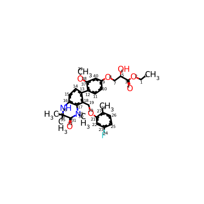 CCOC(=O)[C@H](O)COc1ccc(-c2ccc3c(c2COc2cc(F)ccc2C)N(C)C(=O)C(C)(C)N3)c(OC)c1